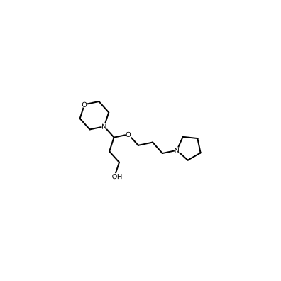 OCCC(OCCCN1CCCC1)N1CCOCC1